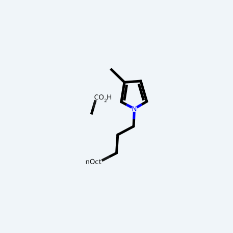 CC(=O)O.CCCCCCCCCCCn1ccc(C)c1